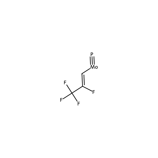 FC(=[CH][Mo]#[P])C(F)(F)F